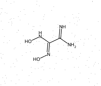 N=C(N)C(=NO)NO